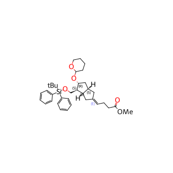 COC(=O)CC/C=C1\C[C@H]2C[C@@H](OC3CCCCO3)[C@H](CO[Si](c3ccccc3)(c3ccccc3)C(C)(C)C)[C@H]2C1